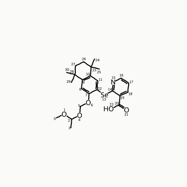 COC(C)OCOc1cc2c(cc1[Se]c1ncccc1C(=O)O)C(C)(C)CCC2(C)C